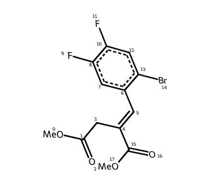 COC(=O)C/C(=C\c1cc(F)c(F)cc1Br)C(=O)OC